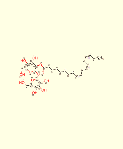 CC/C=C\C/C=C\C/C=C\CCCCCCCC(=O)O[C@H]1[C@@H](O[C@H]2O[C@H](CO)[C@@H](O)[C@H](O)[C@H]2O)O[C@H](CO)[C@@H](O)[C@@H]1O